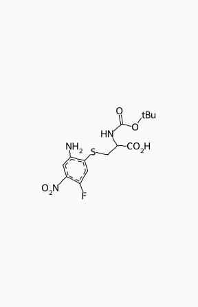 CC(C)(C)OC(=O)NC(CSc1cc(F)c([N+](=O)[O-])cc1N)C(=O)O